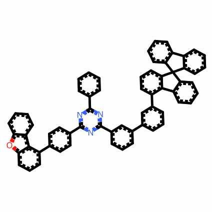 c1ccc(-c2nc(-c3ccc(-c4cccc5oc6ccccc6c45)cc3)nc(-c3cccc(-c4cccc(-c5cccc6c5-c5ccccc5C65c6ccccc6-c6ccccc65)c4)c3)n2)cc1